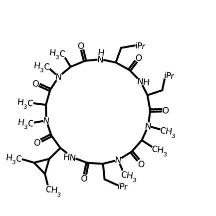 CC(C)CC1NC(=O)C(C)N(C)C(=O)C(C)N(C)C(=O)C(C2C(C)C2C)NC(=O)C(CC(C)C)N(C)C(=O)C(C)N(C)C(=O)C(CC(C)C)NC1=O